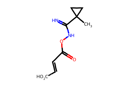 CC1(C(=N)NOC(=O)C=CC(=O)O)CC1